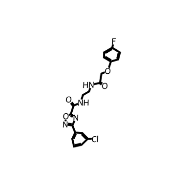 O=C(COc1ccc(F)cc1)NCCNC(=O)c1nc(-c2cccc(Cl)c2)no1